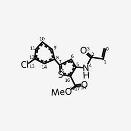 C=CC(=O)Nc1cc(-c2cccc(Cl)c2)sc1C(=O)OC